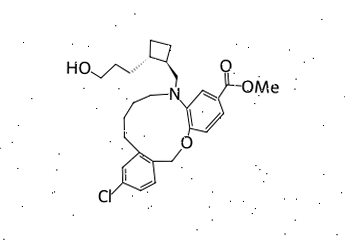 COC(=O)c1ccc2c(c1)N(C[C@@H]1CC[C@H]1CCCO)CCCCc1cc(Cl)ccc1CO2